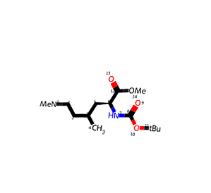 CNCCC(C)C[C@H](NC(=O)OC(C)(C)C)C(=O)OC